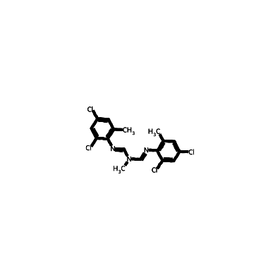 Cc1cc(Cl)cc(Cl)c1/N=C/N(C)/C=N/c1c(C)cc(Cl)cc1Cl